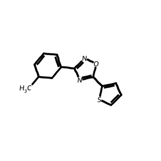 CC1C=CC=C(c2noc(-c3cccs3)n2)C1